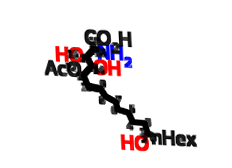 CCCCCCC(O)CCCCCCC=CC(OC(C)=O)C(O)C(O)C(N)C(=O)O